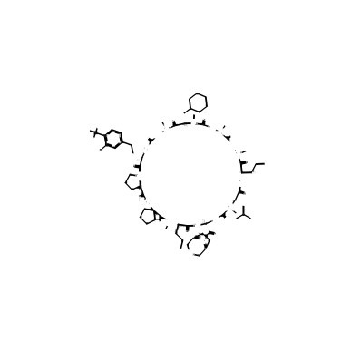 CC[C@H](C)[C@@H]1NC(=O)[C@H](CC(C)C)N(C)C(=O)C[C@@H](C(=O)N2C3CCC2COC3)NC(=O)[C@H]([C@@H](C)CC)N(C)C(=O)C2(CCCC2)NC(=O)[C@@H]2CCCN2C(=O)[C@H](CCc2ccc(C(F)(F)F)c(Cl)c2)NC(=O)CN(C)C(=O)[C@H](CC2CCCCC2)N(C)C(=O)CN(C)C(=O)CN(C)C1=O